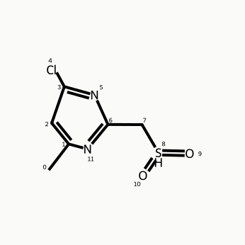 Cc1cc(Cl)nc(C[SH](=O)=O)n1